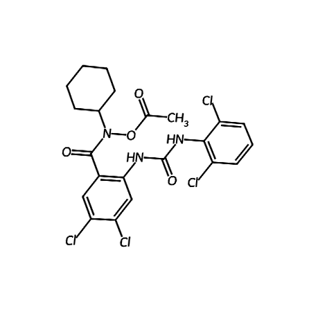 CC(=O)ON(C(=O)c1cc(Cl)c(Cl)cc1NC(=O)Nc1c(Cl)cccc1Cl)C1CCCCC1